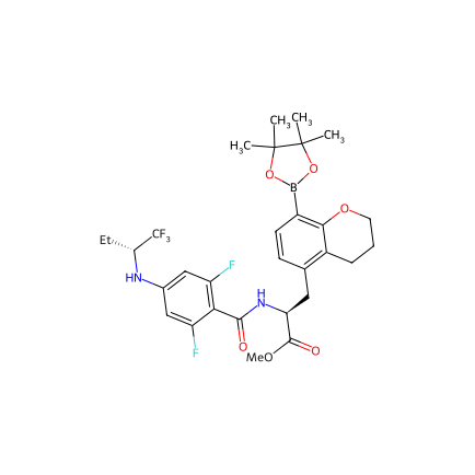 CC[C@@H](Nc1cc(F)c(C(=O)N[C@@H](Cc2ccc(B3OC(C)(C)C(C)(C)O3)c3c2CCCO3)C(=O)OC)c(F)c1)C(F)(F)F